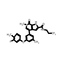 Cc1cc(Oc2ccc(C)c(F)c2)cc(-c2cn(C)c(=O)c3[nH]c(C(=O)NCCC(F)(F)F)cc23)c1